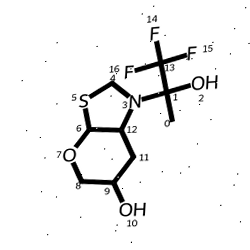 CC(O)(N1CSC2OCC(O)CC21)C(F)(F)F